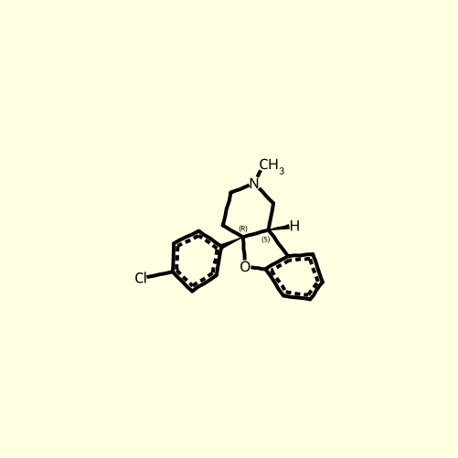 CN1CC[C@@]2(c3ccc(Cl)cc3)Oc3ccccc3[C@H]2C1